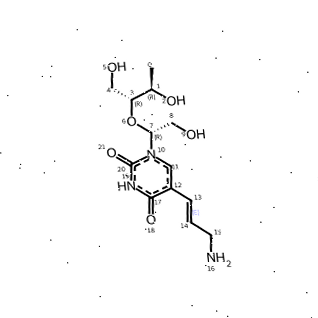 C[C@@H](O)[C@@H](CO)O[C@H](CO)n1cc(/C=C/CN)c(=O)[nH]c1=O